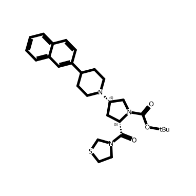 CC(C)(C)OC(=O)N1C[C@@H](N2CCC(c3ccc4ccccc4c3)CC2)C[C@H]1C(=O)N1CCSC1